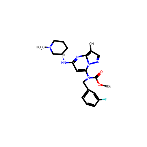 CC(C)(C)OC(=O)N(Cc1cccc(F)c1)c1cc(N[C@H]2CCCN(C(=O)O)C2)nc2c(C#N)cnn12